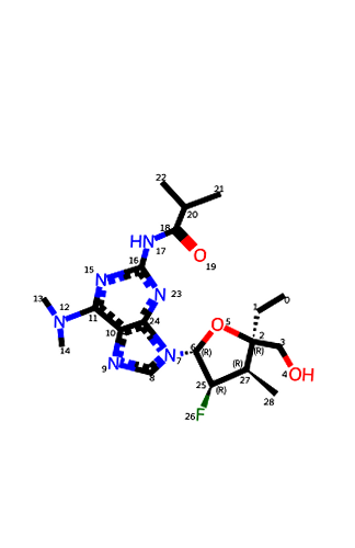 CC[C@@]1(CO)O[C@@H](n2cnc3c(N(C)C)nc(NC(=O)C(C)C)nc32)[C@H](F)[C@@H]1C